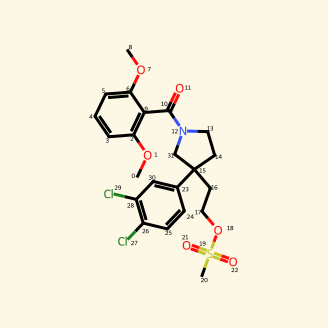 COc1cccc(OC)c1C(=O)N1CCC(CCOS(C)(=O)=O)(c2ccc(Cl)c(Cl)c2)C1